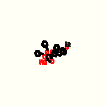 CCOc1ccc(Cc2cc([C@]34OC[C@](CO)(O3)[C@@H](OCc3ccccc3)[C@H](OCc3ccccc3)[C@@H]4OCc3ccccc3)ccc2C)cc1